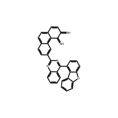 N=C1C=Cc2ccc3ccc(-c4nc(-c5cccc6oc7ccccc7c56)c5ccccc5n4)cc3c2C1=N